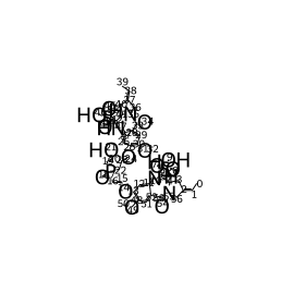 C/C=C1\C[C@H]2C(S(=O)(=O)O)Nc3cc(OCCP(=O)(CCO)CCOc4cc5c(cc4OC)C(=O)N4C/C(=C/C)C[C@H]4C(S(=O)(=O)O)N5)c(OC)cc3C(=O)N2C1